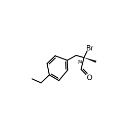 CCc1ccc(C[C@](C)(Br)C=O)cc1